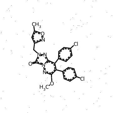 COc1nn2c(=O)n(Cc3cc(C)on3)nc2c(-c2ccc(Cl)cc2)c1-c1ccc(Cl)cc1